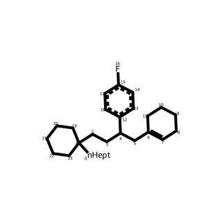 CCCCCCCC1(CCC(CC2=CCCCC2)c2ccc(F)cc2)CCCCC1